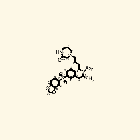 CCCN(CCCCN1CCCNC(=O)C1)C(C)Cc1cccc(S(=O)(=O)c2ccc3c(c2)OCO3)c1